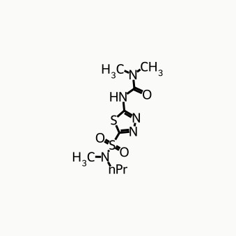 CCCN(C)S(=O)(=O)c1nnc(NC(=O)N(C)C)s1